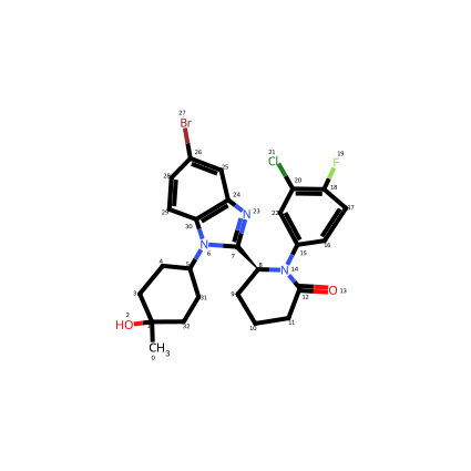 CC1(O)CCC(n2c([C@@H]3CCCC(=O)N3c3ccc(F)c(Cl)c3)nc3cc(Br)ccc32)CC1